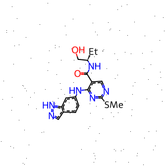 CC[C@H](CO)NC(=O)c1cnc(SC)nc1Nc1ccc2cn[nH]c2c1